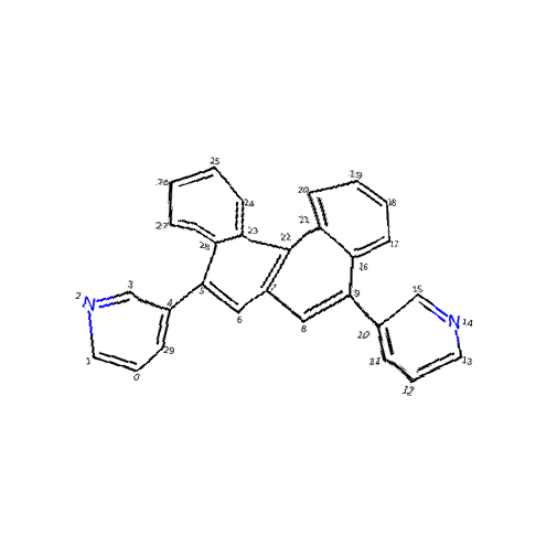 c1cncc(-c2cc3cc(-c4cccnc4)c4ccccc4c3c3ccccc23)c1